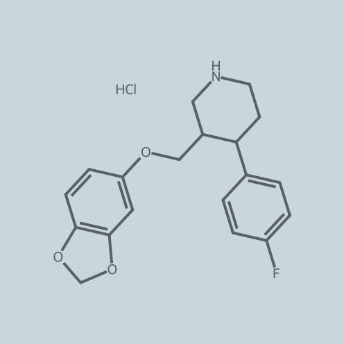 Cl.Fc1ccc(C2CCNCC2COc2ccc3c(c2)OCO3)cc1